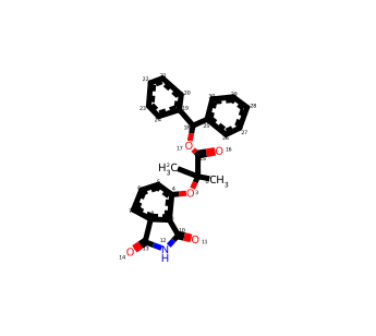 CC(C)(Oc1cccc2c1C(=O)NC2=O)C(=O)OC(c1ccccc1)c1ccccc1